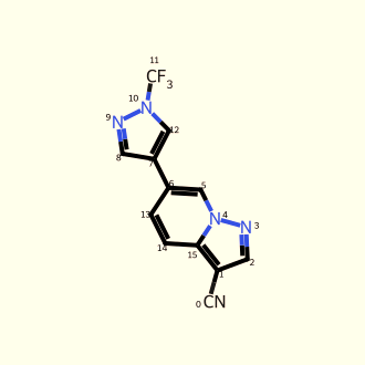 N#Cc1cnn2cc(-c3cnn(C(F)(F)F)c3)ccc12